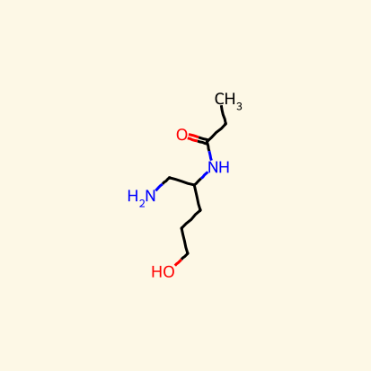 CCC(=O)NC(CN)CCCO